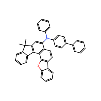 CC1(C)c2ccccc2-c2c1cc(N(c1ccccc1)c1ccc(-c3ccccc3)cc1)c1ccc3c4ccccc4oc3c21